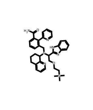 C[Si](C)(C)CCOCC(c1nc2ccccc2[nH]1)N(Cc1cccc(C(N)=O)c1-c1ccccn1)C1CCCc2cccnc21